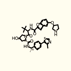 Cc1ncsc1-c1ccc([C@H](C)NC(=O)[C@@H]2C[C@@H](O)CN2C(=O)C(NC(=O)c2cc3cc(OC4CCNC4)ccc3o2)C(C)(C)C)cc1